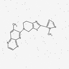 Cc1cc2nccnc2nc1N1CCc2nc(-c3ccnn3C)sc2C1